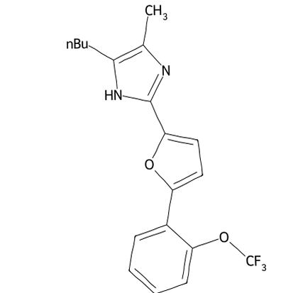 CCCCc1[nH]c(-c2ccc(-c3ccccc3OC(F)(F)F)o2)nc1C